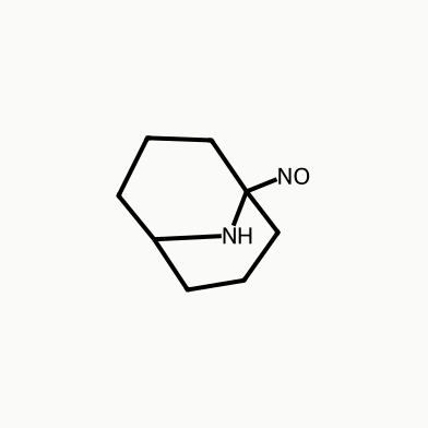 O=NC12CCCC(CCC1)N2